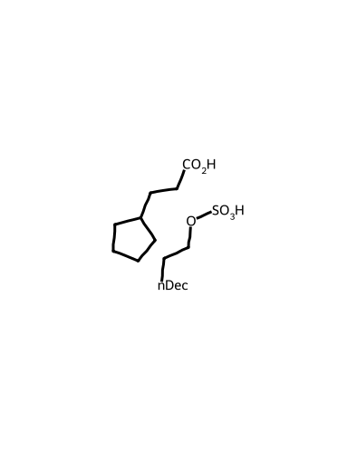 CCCCCCCCCCCCOS(=O)(=O)O.O=C(O)CCC1CCCC1